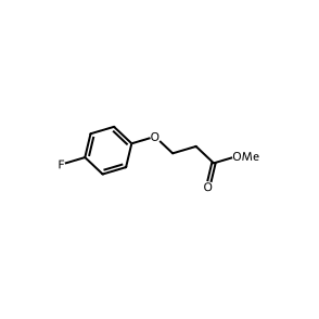 COC(=O)CCOc1ccc(F)cc1